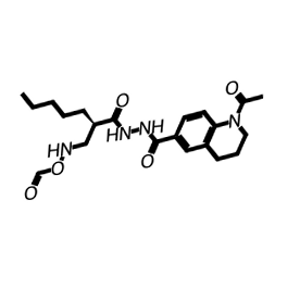 CCCCC[C@H](CNOC=O)C(=O)NNC(=O)c1ccc2c(c1)CCCN2C(C)=O